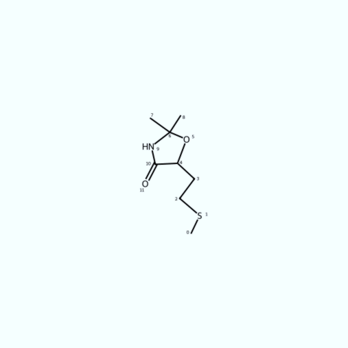 CSCCC1OC(C)(C)NC1=O